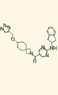 O=C(c1cnc(NC2Cc3ccccc3C2)nc1)N1CC2(CCC(OCc3c[nH]nn3)CC2)C1